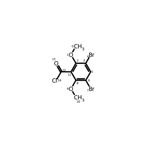 COc1c(Br)cc(Br)c(OC)c1C(=O)Cl